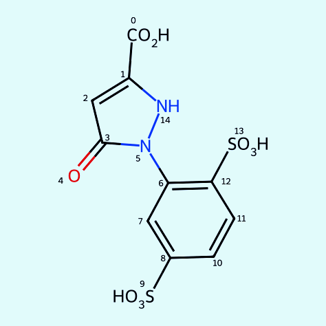 O=C(O)c1cc(=O)n(-c2cc(S(=O)(=O)O)ccc2S(=O)(=O)O)[nH]1